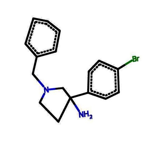 NC1(c2ccc(Br)cc2)CCN(Cc2ccccc2)C1